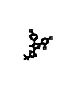 Cc1c(-c2ncc(C(C)(C)C)s2)nn(-c2ccc(Cl)cc2Cl)c1-c1ccc(Cl)cc1